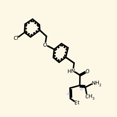 CC/C=C\C(C(=O)NCc1ccc(OCc2cccc(Cl)c2)cc1)=C(/C)N